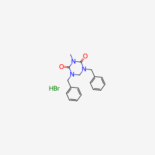 Br.CN1C(=O)N(Cc2ccccc2)CN(Cc2ccccc2)C1=O